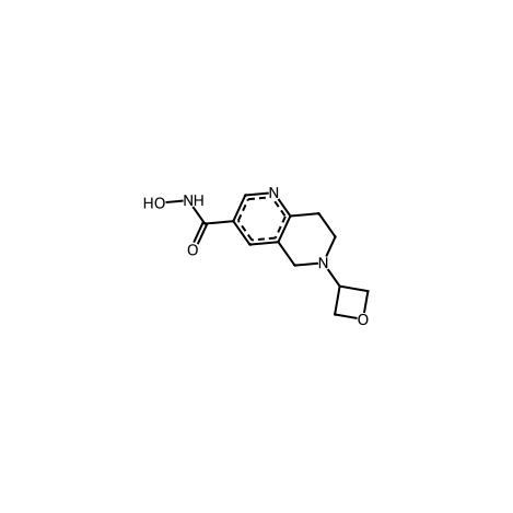 O=C(NO)c1cnc2c(c1)CN(C1COC1)CC2